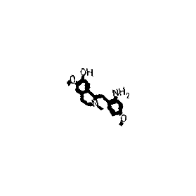 COc1ccc(CC2c3cc(O)c(OC)cc3CCN2C)c(N)c1